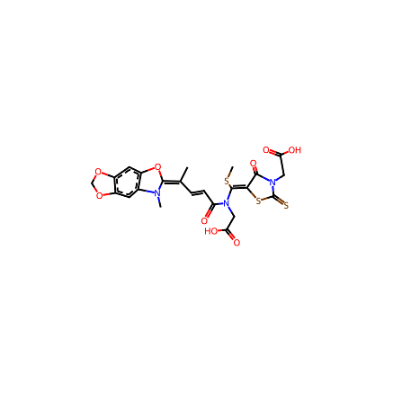 CS/C(=C1/SC(=S)N(CC(=O)O)C1=O)N(CC(=O)O)C(=O)C=C/C(C)=C1/Oc2cc3c(cc2N1C)OCO3